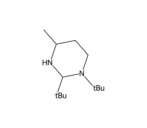 CC1CCN(C(C)(C)C)C(C(C)(C)C)N1